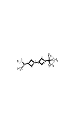 CN(C)C1CN(C2CN(C(C)(C)C)C2)C1